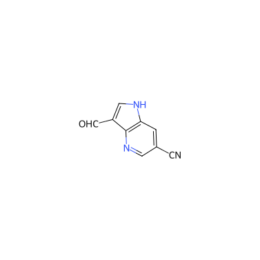 N#Cc1cnc2c(C=O)c[nH]c2c1